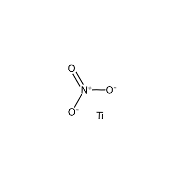 O=[N+]([O-])[O-].[Ti]